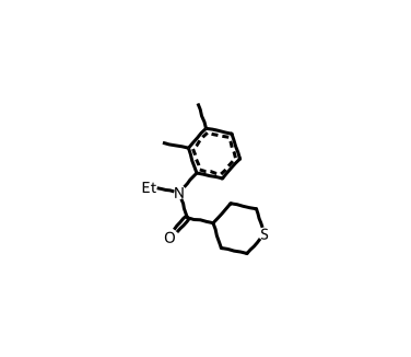 CCN(C(=O)C1CCSCC1)c1cccc(C)c1C